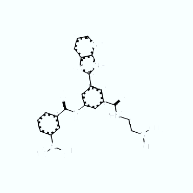 CN(C)CCNC(=O)c1cc(NC(=O)c2cccc(N(C)C)c2)cc(-c2nc3ncccc3o2)c1